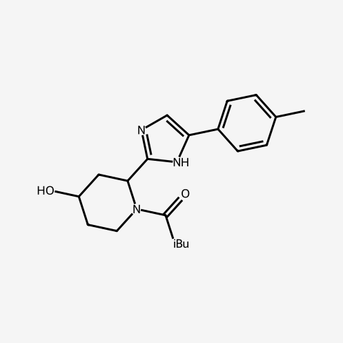 CCC(C)C(=O)N1CCC(O)CC1c1ncc(-c2ccc(C)cc2)[nH]1